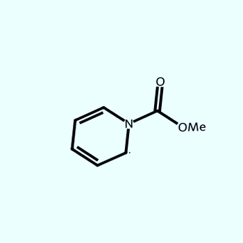 COC(=O)N1[CH]C=CC=C1